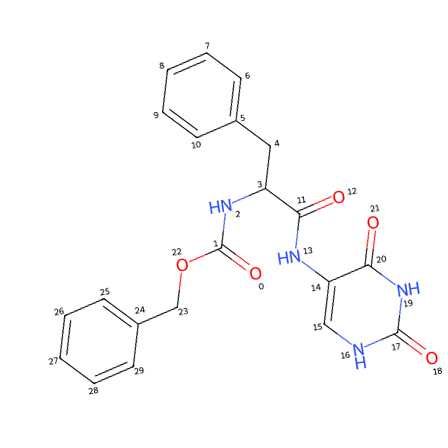 O=C(NC(Cc1ccccc1)C(=O)Nc1c[nH]c(=O)[nH]c1=O)OCc1ccccc1